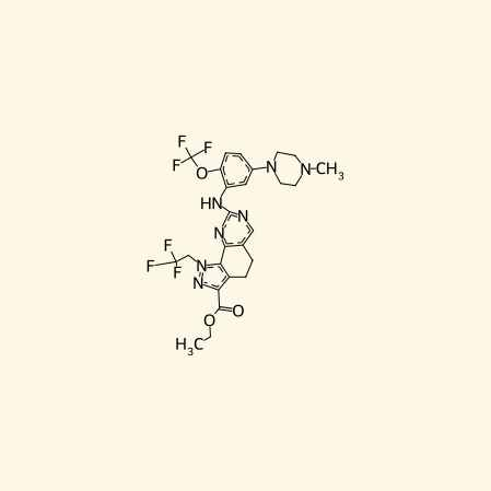 CCOC(=O)c1nn(CC(F)(F)F)c2c1CCc1cnc(Nc3cc(N4CCN(C)CC4)ccc3OC(F)(F)F)nc1-2